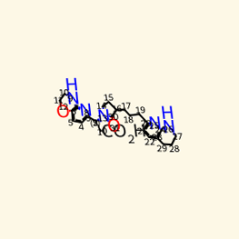 O=C(O)C[C@@H](c1ccc2c(n1)NCCO2)N1CCC(CCCc2ccc3c(n2)NCCC3)C1=O